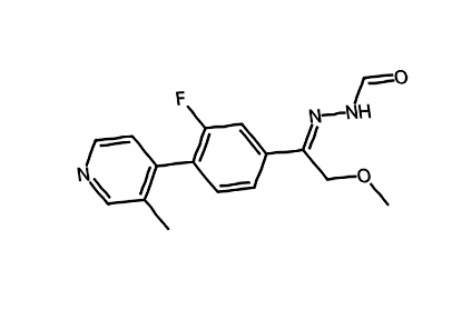 COC/C(=N\NC=O)c1ccc(-c2ccncc2C)c(F)c1